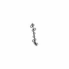 CC(C)OC(=O)CCC(=O)OCCOCCOCCOC(=O)CN=[N+]=[N-]